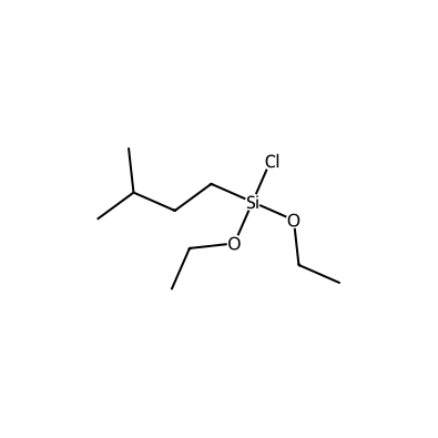 CCO[Si](Cl)(CCC(C)C)OCC